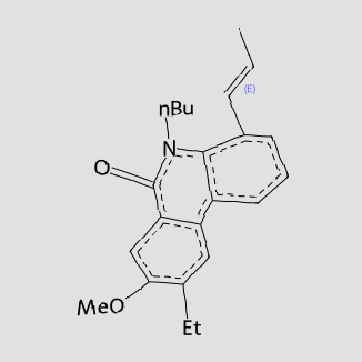 C/C=C/c1cccc2c3cc(CC)c(OC)cc3c(=O)n(CCCC)c12